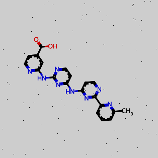 Cc1cccc(-c2nccc(Nc3ccnc(Nc4cc(C(=O)O)ccn4)n3)n2)n1